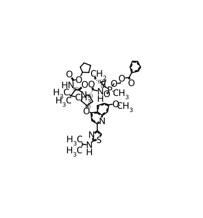 C=C[C@@H]1C[C@]1(NC(=O)[C@@H]1C[C@@H](Oc2cc(-c3csc(NC(C)C)n3)nc3cc(OC)ccc23)CN1C(=O)[C@@H](NC(=O)OC1CCCC1)C(C)(C)C)P(C)(=O)OCOC(=O)c1ccccc1